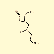 CCCCCCCCCCC[C@@H](O)C[C@H]1OC(=O)[C@@H]1CCCCCC